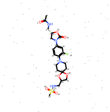 CC(=O)NC[C@H]1CN(c2ccc(N3CCC4(CC3)OCC(CNS(C)(=O)=O)O4)c(F)c2)C(=O)O1